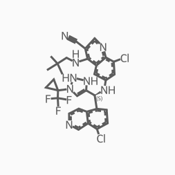 CC(C)(C)CNc1c(C#N)cnc2c(Cl)cc(N[C@H](C3=CN(C4(C(F)(F)F)CC4)NN3)c3ccc(Cl)c4cnccc34)cc12